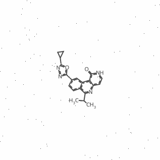 CC(C)c1nc2cc[nH]c(=O)c2c2cc(-c3nnc(C4CC4)o3)ccc12